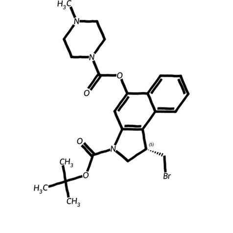 CN1CCN(C(=O)Oc2cc3c(c4ccccc24)[C@H](CBr)CN3C(=O)OC(C)(C)C)CC1